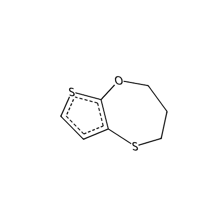 c1cc2c(s1)OCCCS2